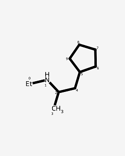 CCNC(C)CC1CCCC1